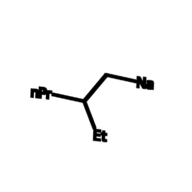 CCCC(CC)[CH2][Na]